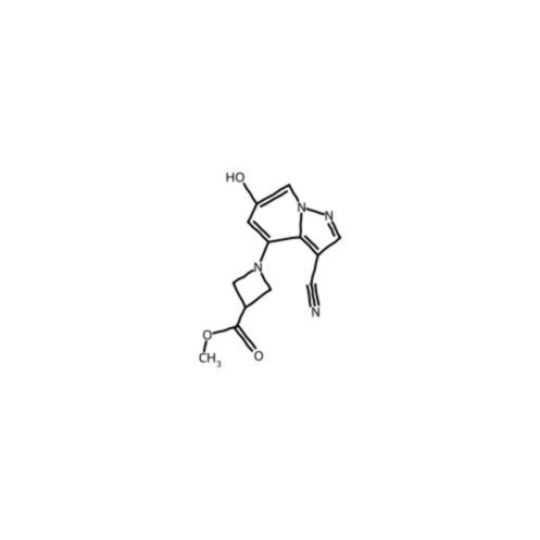 COC(=O)C1CN(c2cc(O)cn3ncc(C#N)c23)C1